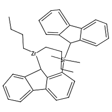 CCC[CH2][Zr]([CH2]CCC)[CH]1c2ccccc2-c2cccc([Si](C)(C)C3c4ccccc4-c4ccccc43)c21